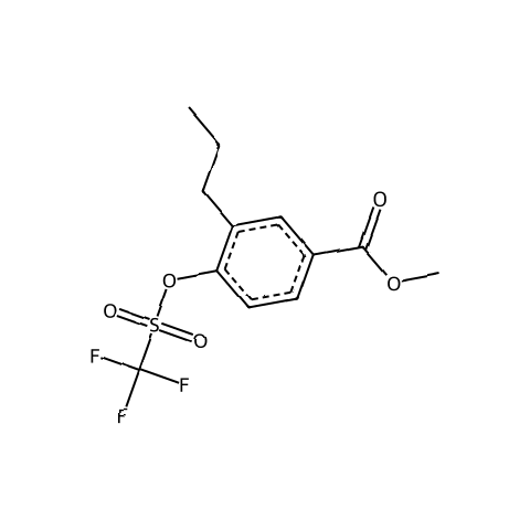 CCCc1cc(C(=O)OC)ccc1OS(=O)(=O)C(F)(F)F